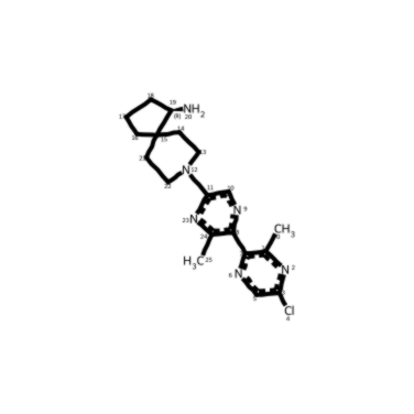 Cc1nc(Cl)cnc1-c1ncc(N2CCC3(CCC[C@H]3N)CC2)nc1C